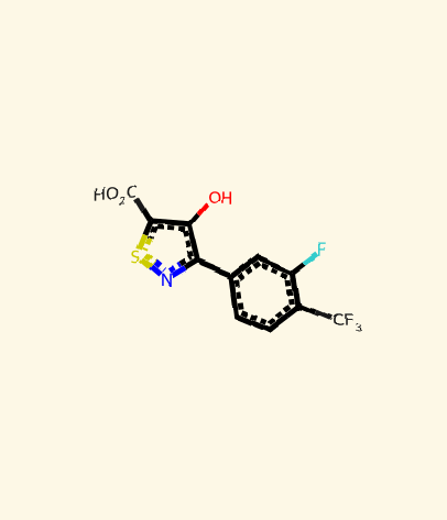 O=C(O)c1snc(-c2ccc(C(F)(F)F)c(F)c2)c1O